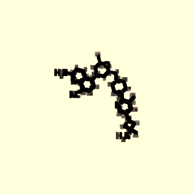 Bc1ccc2c(N3C[C@H](CN4CCN(c5ncc(N6CC(C)(N)C6)cc5C)CC4)O[C@H](C)C3)ccc(C#N)c2n1